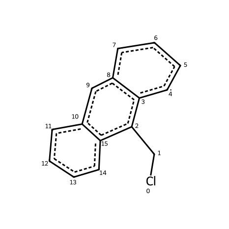 ClCc1c2[c]cccc2cc2ccccc12